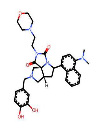 CN(C)c1ccc(C2C[C@@H]3CN(Cc4ccc(O)c(O)c4)C[C@]34C(=O)N(CCN3CCOCC3)C(=O)N24)c2ccccc12